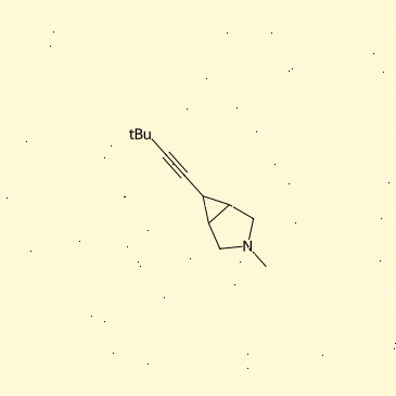 CN1CC2C(C#CC(C)(C)C)C2C1